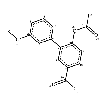 COc1cccc(-c2cc(C(=O)Cl)ccc2OC(C)=O)c1